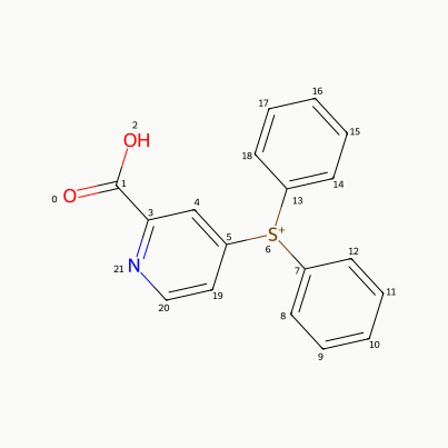 O=C(O)c1cc([S+](c2ccccc2)c2ccccc2)ccn1